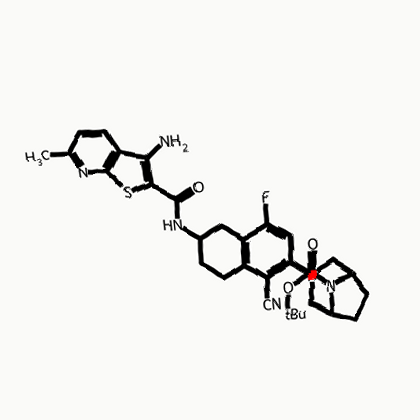 Cc1ccc2c(N)c(C(=O)NC3CCc4c(C#N)c(N5CC6CCC(C5)N6C(=O)OC(C)(C)C)cc(F)c4C3)sc2n1